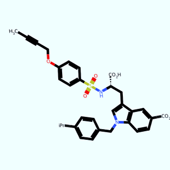 CC#CCOc1ccc(S(=O)(=O)N[C@@H](Cc2cn(Cc3ccc(C(C)C)cc3)c3ccc(C(=O)O)cc23)C(=O)O)cc1